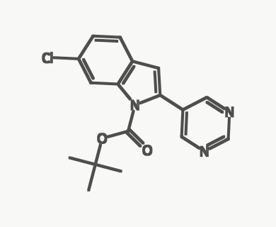 CC(C)(C)OC(=O)n1c(-c2cncnc2)cc2ccc(Cl)cc21